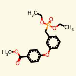 CCOP(=O)(Cc1cccc(Oc2ccc(C(=O)OC)cc2)c1)OCC